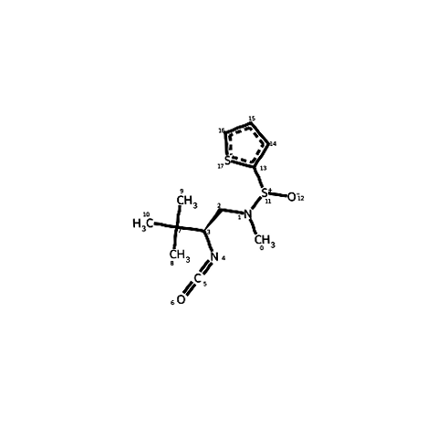 CN(C[C@@H](N=C=O)C(C)(C)C)[S+]([O-])c1cccs1